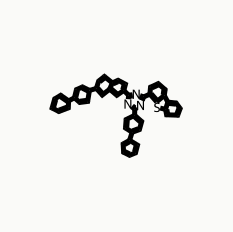 c1ccc(-c2ccc(-c3ccc4ccc(-c5nc(-c6ccc(-c7ccccc7)cc6)nc(-c6cccc7c6sc6ccccc67)n5)cc4c3)cc2)cc1